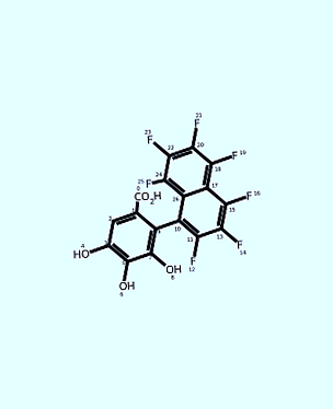 O=C(O)c1cc(O)c(O)c(O)c1-c1c(F)c(F)c(F)c2c(F)c(F)c(F)c(F)c12